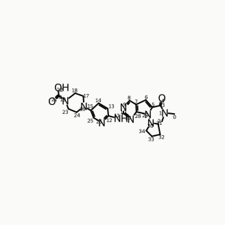 CN(C)C(=O)c1cc2cnc(Nc3ccc(N4CCN(C(=O)O)CC4)cn3)nc2n1N1CCCC1